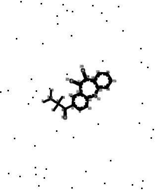 CN(C)C(C)(C)C(=O)c1ccc2sc3ccccc3c(=O)c(=O)c2c1